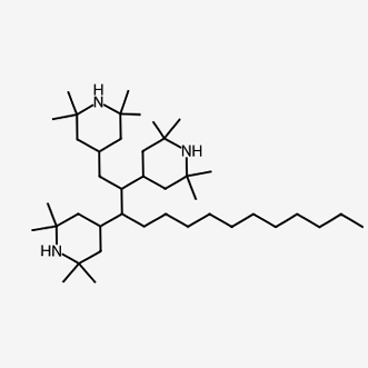 CCCCCCCCCCCC(C1CC(C)(C)NC(C)(C)C1)C(CC1CC(C)(C)NC(C)(C)C1)C1CC(C)(C)NC(C)(C)C1